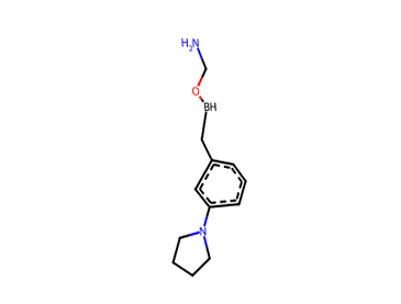 NCOBCc1cccc(N2CCCC2)c1